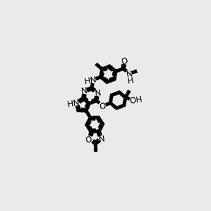 CNC(=O)c1ccc(Nc2nc(OC3CCC(C)(O)CC3)c3c(-c4ccc5nc(C)oc5c4)c[nH]c3n2)c(C)c1